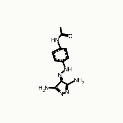 CC(=O)Nc1ccc(NN=C2C(N)=NN=C2N)cc1